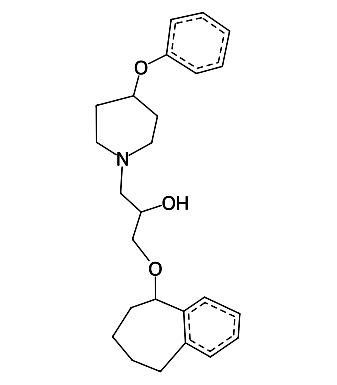 OC(COC1CCCCc2ccccc21)CN1CCC(Oc2ccccc2)CC1